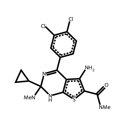 CNC(=O)c1sc2c(c1N)C(c1ccc(Cl)c(Cl)c1)=NC(NC)(C1CC1)N2